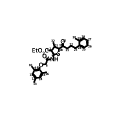 CCOC(=O)C1C(NC(=O)COc2c(C)cc(C)cc2C)SC(C(=O)CCCc2ccccc2C)C1C